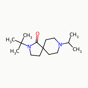 CC(C)N1CCC2(CC1)CCN(C(C)(C)C)C2=O